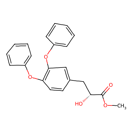 COC(=O)[C@H](O)Cc1ccc(Oc2ccccc2)c(Oc2ccccc2)c1